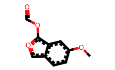 COc1ccc2coc(OC=O)c2c1